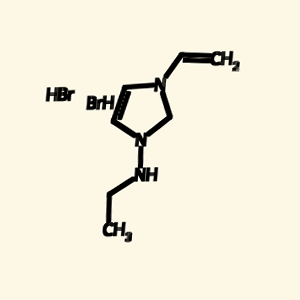 Br.Br.C=CN1C=CN(NCC)C1